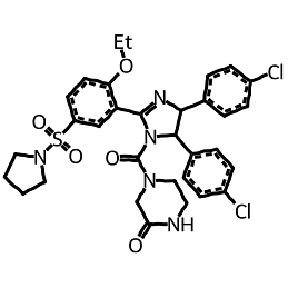 CCOc1ccc(S(=O)(=O)N2CCCC2)cc1C1=NC(c2ccc(Cl)cc2)C(c2ccc(Cl)cc2)N1C(=O)N1CCNC(=O)C1